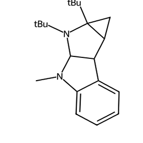 CN1c2ccccc2C2C1N(C(C)(C)C)C1(C(C)(C)C)CC21